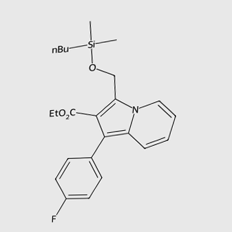 CCCC[Si](C)(C)OCc1c(C(=O)OCC)c(-c2ccc(F)cc2)c2ccccn12